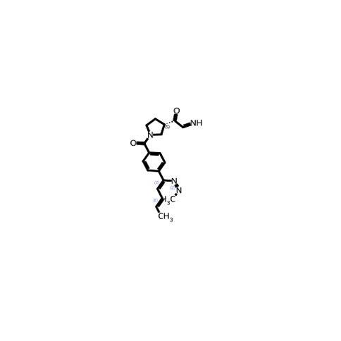 C/C=C/C=C(\N=N/C)c1ccc(C(=O)N2CC[C@H](C(=O)C=N)C2)cc1